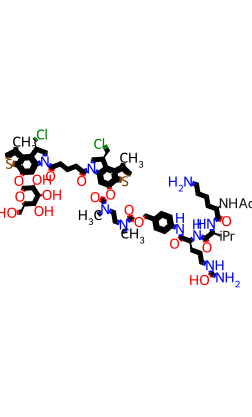 CC(=O)N[C@@H](CCCCN)C(=O)N[C@H](C(=O)N[C@@H](CCCNC(N)O)C(=O)Nc1ccc(COC(=O)N(C)CCN(C)C(=O)Oc2cc3c(c4c(C)csc24)[C@H](CCl)CN3C(=O)CCCC(=O)N2C[C@@H](CCl)c3c2cc(O[C@@H]2O[C@H](CO)[C@@H](O)[C@H](O)[C@H]2O)c2scc(C)c32)cc1)C(C)C